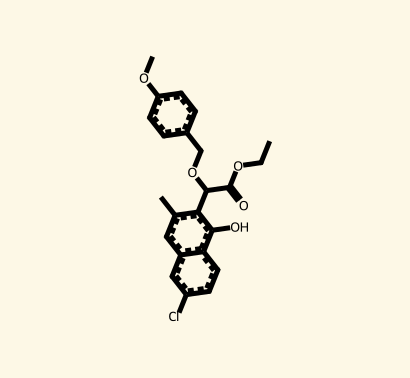 CCOC(=O)C(OCc1ccc(OC)cc1)c1c(C)cc2cc(Cl)ccc2c1O